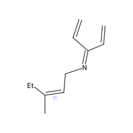 C=CC(C=C)=NC/C=C(/C)CC